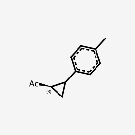 CC(=O)[C@@H]1CC1c1ccc(C)cc1